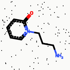 NCCCn1ccccc1=O